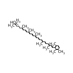 CC(/C=C/C=C(C)/C=C/C=C(\C)CCCC(C)(C)O)=C\C=C\C=C(C)\C=C\C=C(C)\C=C\c1c(C)ccc(C)c1C